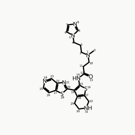 CN(CCCn1ccnc1)CCC(=O)Nc1sc2c(c1-c1nc3cnccc3s1)CCNC2